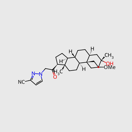 COCC[C@]12CC[C@@](C)(O)C[C@@H]1CC[C@H]1[C@@H]3CC[C@H](C(=O)Cn4ccc(C#N)n4)[C@@]3(C)CC[C@@H]12